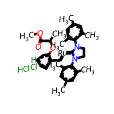 COC(=O)C(C)Oc1ccccc1[CH]=[Ru]=[C]1N(c2c(C)cc(C)cc2C)CCN1c1c(C)cc(C)cc1C.Cl.Cl